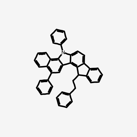 c1ccc(CCC2c3ccccc3-c3ccc4c(c32)c2cc(-c3ccccc3)c3ccccc3c2n4-c2ccccc2)cc1